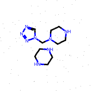 C1CNCCN1.c1nnnn1CN1CCNCC1